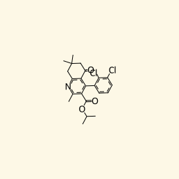 Cc1nc2c(c(-c3cccc(Cl)c3Cl)c1C(=O)OC(C)C)C(=O)CC(C)(C)C2